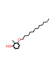 CCCCCCCCCCCCOc1cccc(O)c1C